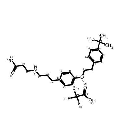 CC(C)(C)c1ccc(CCOc2ccc(CCCNCCC(=O)O)cc2)cc1.O=C(O)C(F)(F)F